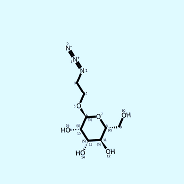 [N-]=[N+]=NCCO[C@H]1O[C@H](CO)[C@@H](O)[C@H](O)[C@@H]1O